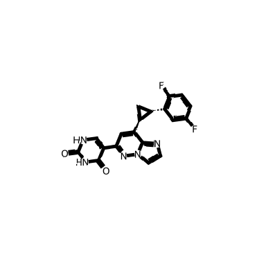 O=c1[nH]cc(-c2cc([C@H]3C[C@@H]3c3cc(F)ccc3F)c3nccn3n2)c(=O)[nH]1